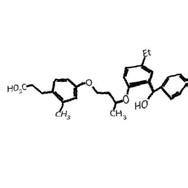 CCc1ccc(OC(C)CCOc2ccc(CCC(=O)O)c(C)c2)c(C(O)c2ccccc2)c1